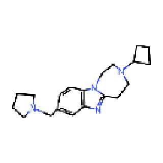 c1cc2c(cc1CN1CCCC1)nc1n2CCN(C2CCC2)CC1